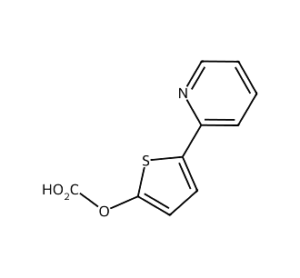 O=C(O)Oc1ccc(-c2ccccn2)s1